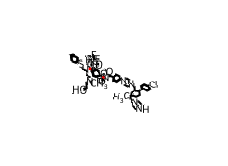 CN(CCO)CCC(CSc1ccccc1)Nc1ccc(S(=O)(=O)NC(=O)c2ccc(N3CCN(CC4=C(c5ccc(Cl)cc5)CCC(C)(CN5CCNCC5)C4)CC3)cc2)cc1S(=O)(=O)C(F)(F)F